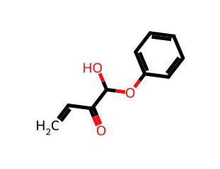 C=CC(=O)C(O)Oc1ccccc1